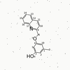 Cc1cc(O)cc(OCc2ccc3ccccc3n2)c1